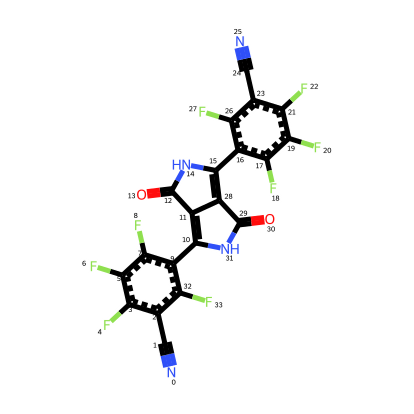 N#Cc1c(F)c(F)c(F)c(C2=C3C(=O)NC(c4c(F)c(F)c(F)c(C#N)c4F)=C3C(=O)N2)c1F